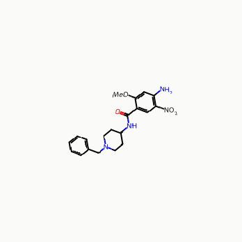 COc1cc(N)c([N+](=O)[O-])cc1C(=O)NC1CCN(Cc2ccccc2)CC1